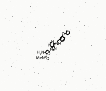 CNC(=O)[C@H]1O[C@@H](n2cnc3c(NCc4cccc(OC5CCCC5)c4)ncnc32)C[C@@H]1N